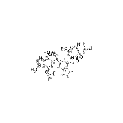 CC[C@@H]1CN(Cc2cc(C(CC(=O)O)c3cc(OC(F)F)c4c(nnn4C)c3C)cc3c2CCC3)S(=O)(=O)c2cc(Cl)cnc2O1